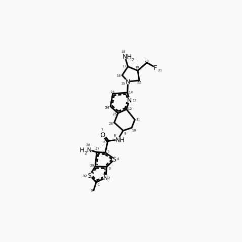 Cc1nc2sc(C(=O)NC3CCc4nc(N5CC(N)C(CF)C5)ccc4C3)c(N)c2s1